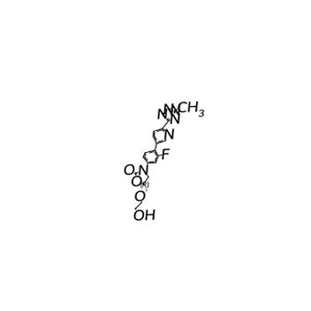 Cn1nnc(-c2ccc(-c3ccc(N4C[C@H](COCCO)OC4=O)cc3F)cn2)n1